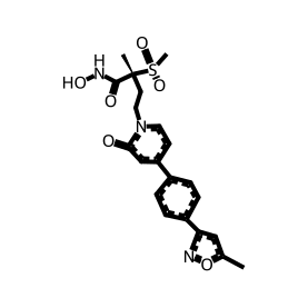 Cc1cc(-c2ccc(-c3ccn(CC[C@](C)(C(=O)NO)S(C)(=O)=O)c(=O)c3)cc2)no1